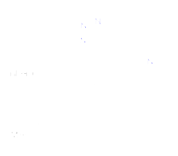 CCCCCc1ccc(-n2nnc(CCCN3CCCC3)c2Cc2ccc(-c3ccc(OC)cc3)cc2)cc1